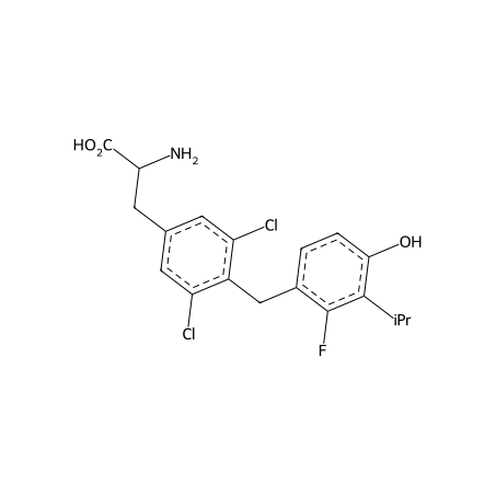 CC(C)c1c(O)ccc(Cc2c(Cl)cc(CC(N)C(=O)O)cc2Cl)c1F